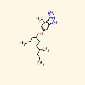 C=C(CCC)CCC(CCC)COc1cc(C)c2c(N)n[nH]c2c1